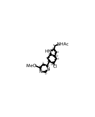 COc1cc(-c2cc3[nH]c(CNC(C)=O)cc3cc2Cl)ncn1